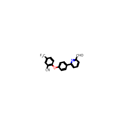 N#Cc1cc(C(F)(F)F)ccc1Oc1ccc(-c2cccc(C=O)n2)cc1